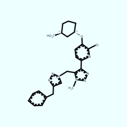 CCc1nc(-c2nnn(C)c2Cn2cc(Cc3ccccc3)nn2)ccc1O[C@H]1CCC[C@H](C(=O)O)C1